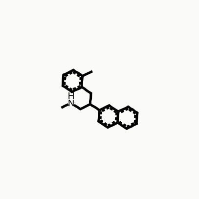 CNCC(Cc1ccccc1C)c1ccc2ccccc2c1